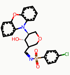 O=S(=O)(/N=C\C1COC[C@H](N2c3ccccc3Oc3ccccc32)[C@H]1O)c1ccc(Cl)cc1